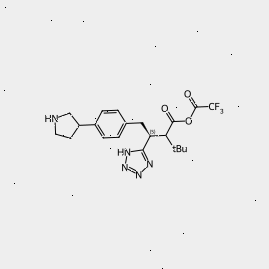 CC(C)(C)C(C(=O)OC(=O)C(F)(F)F)[C@H](Cc1ccc(C2CCNC2)cc1)c1nnn[nH]1